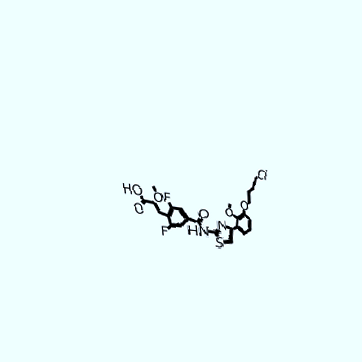 COC(=Cc1c(F)cc(C(=O)Nc2nc(-c3cccc(OCCCCCl)c3OC)cs2)cc1F)C(=O)O